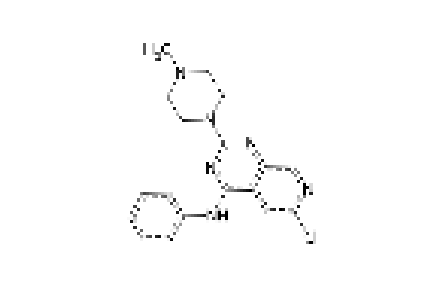 CN1CCN(c2nc(Nc3ccccc3)c3cc(Cl)ncc3n2)CC1